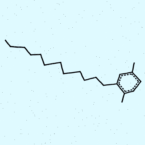 CCCCCCCCCCCCc1cc(C)ccc1C